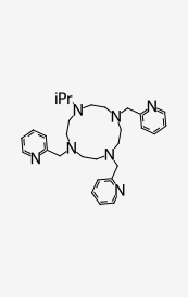 CC(C)N1CCN(Cc2ccccn2)CCN(Cc2ccccn2)CCN(Cc2ccccn2)CC1